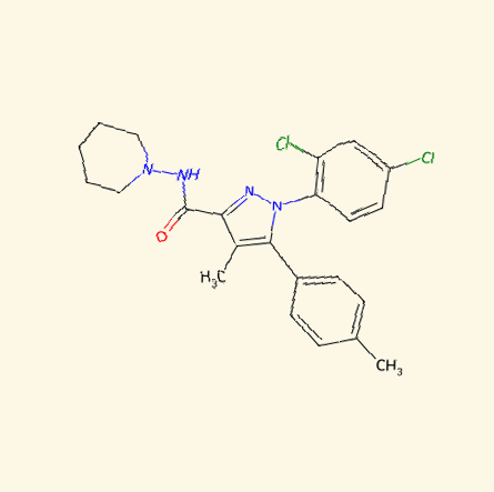 Cc1ccc(-c2c(C)c(C(=O)NN3CCCCC3)nn2-c2ccc(Cl)cc2Cl)cc1